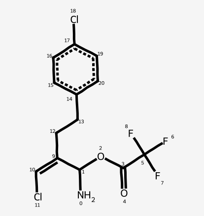 NC(OC(=O)C(F)(F)F)/C(=C\Cl)CCc1ccc(Cl)cc1